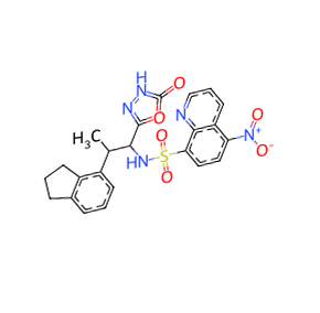 CC(c1cccc2c1CCC2)C(NS(=O)(=O)c1ccc([N+](=O)[O-])c2cccnc12)c1n[nH]c(=O)o1